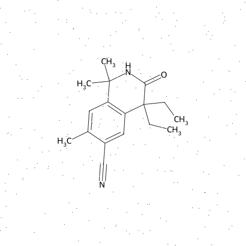 CCC1(CC)C(=O)NC(C)(C)c2cc(C)c(C#N)cc21